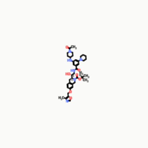 CC(=O)N1CCC(Nc2cc(C(=O)NC[C@@H](O)[C@@H]3Cc4ccc(OCc5ocnc5C)cc4CN3C(=O)OC(C)(C)C)cc(N3CCCCC3)c2)CC1